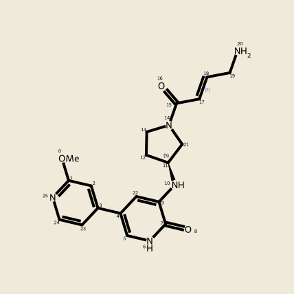 COc1cc(-c2c[nH]c(=O)c(N[C@H]3CCN(C(=O)/C=C/CN)C3)c2)ccn1